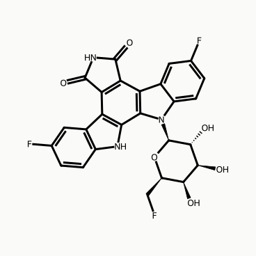 O=C1NC(=O)c2c1c1c3cc(F)ccc3[nH]c1c1c2c2cc(F)ccc2n1[C@@H]1O[C@H](CF)[C@H](O)[C@H](O)[C@H]1O